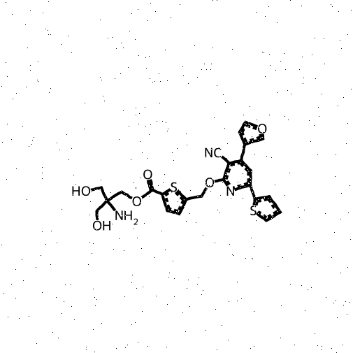 N#Cc1c(-c2ccoc2)cc(-c2cccs2)nc1OCc1ccc(C(=O)OCC(N)(CO)CO)s1